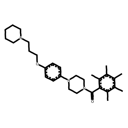 Cc1c(C)c(C)c(C(=O)N2CCN(c3ccc(OCCCN4CCCCC4)cc3)CC2)c(C)c1C